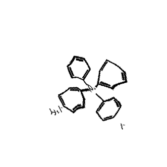 [H+].[I-].[I-].c1ccc([P+](c2ccccc2)(c2ccccc2)c2ccccc2)cc1